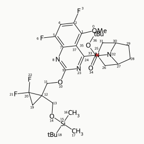 COc1c(F)cc(F)c2nc(OCC3(CO[Si](C)(C)C(C)(C)C)CC3(F)F)nc(N3CC4CCC(C3)N4C(=O)OC(C)(C)C)c12